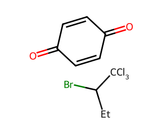 CCC(Br)C(Cl)(Cl)Cl.O=C1C=CC(=O)C=C1